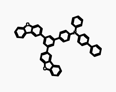 c1ccc(-c2ccc(N(c3ccccc3)c3ccc(-c4cc(-c5ccc6oc7ccccc7c6c5)cc(-c5ccc6oc7ccccc7c6c5)c4)cc3)cc2)cc1